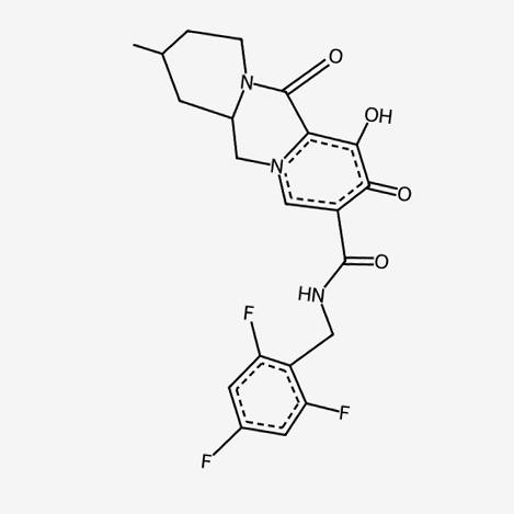 CC1CCN2C(=O)c3c(O)c(=O)c(C(=O)NCc4c(F)cc(F)cc4F)cn3CC2C1